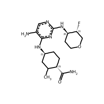 CC1C[C@@H](Nc2nc(N[C@@H]3CCOC[C@H]3F)ncc2N)CC[C@@H]1C(N)=O